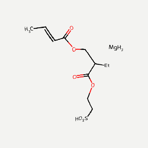 CC=CC(=O)OCC(CC)C(=O)OCCS(=O)(=O)O.[MgH2]